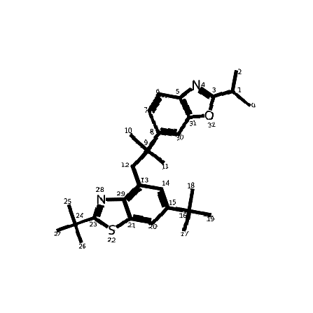 CC(C)c1nc2ccc(C(C)(C)Cc3cc(C(C)(C)C)cc4sc(C(C)(C)C)nc34)cc2o1